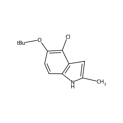 Cc1cc2c(Cl)c(OC(C)(C)C)ccc2[nH]1